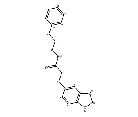 O=C(CCc1ccc2c(c1)OCO2)NCCCc1ccccc1